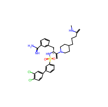 C=C(CCCC1CCN(C(=C)[C@H](Cc2cccc(C(=N)N)c2)NS(=O)(=O)c2cccc(-c3ccc(Cl)c(Cl)c3)c2)CC1)NC